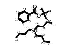 CC(C)(C)OC(=O)c1ccccc1.CCC[CH2][Sn]([CH2]CCC)[CH2]CCC